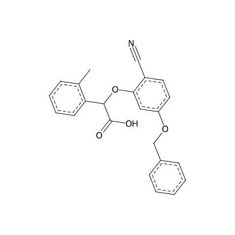 Cc1ccccc1C(Oc1cc(OCc2ccccc2)ccc1C#N)C(=O)O